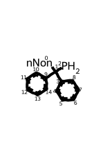 CCCCCCCCCC(P)(c1ccccc1)c1ccccc1